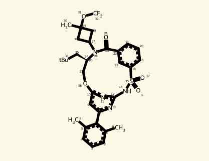 Cc1cccc(C)c1-c1cc2nc(n1)NS(=O)(=O)c1cccc(c1)C(=O)N(C1CC(C)(OC(F)(F)F)C1)[C@H](CC(C)(C)C)CO2